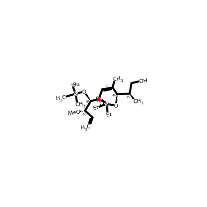 C=C[C@H](OC)[C@@H](O[Si](C)(C)C(C)(C)C)[C@H](C)/C=C(/C)[C@H](O[Si](CC)(CC)CC)[C@H](C)CO